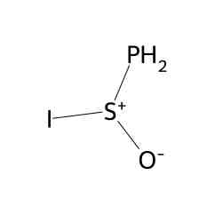 [O-][S+](P)I